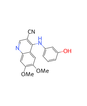 COc1cc2ncc(C#N)c(Nc3cccc(O)c3)c2cc1OC